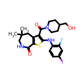 CC1(C)CNC(=O)c2sc(Nc3ccc(I)cc3F)c(C(=O)N3CCC(CO)CC3)c2C1